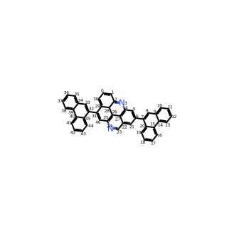 C1=CC2=Nc3cc(-c4cc5ccccc5c5ccccc45)cc4cnc5c(c34)C2C(=C1)C(c1cc2ccccc2c2ccccc12)=C5